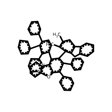 Cc1cc2c(c(-c3c(-c4ccccc4)c(-c4ccccc4)c4oc5ccccc5c4c3-c3ccc(-c4ccccc4)c(-c4ccccc4)c3-c3ccnnn3)c1C)Cc1ccccc1-2